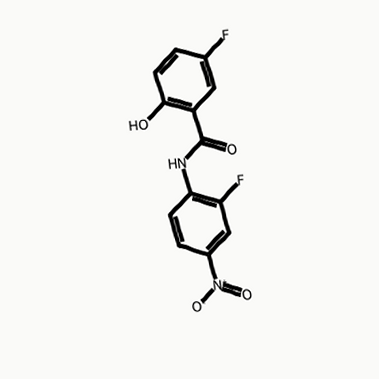 O=C(Nc1ccc([N+](=O)[O-])cc1F)c1cc(F)ccc1O